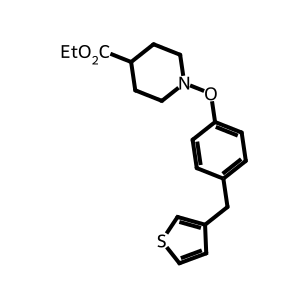 CCOC(=O)C1CCN(Oc2ccc(Cc3ccsc3)cc2)CC1